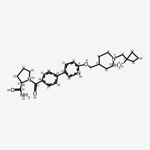 CC1(CN2CCC(COc3ccc(-c4ccc(C(=O)N5CCC[C@@H]5C(N)=O)cc4)cn3)CC2)CCC1